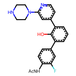 CC(=O)Nc1ccc(-c2cccc(-c3ccnc(N4CCNCC4)c3)c2O)cc1F